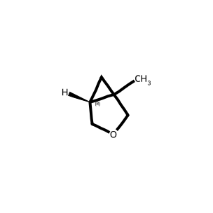 CC12COC[C@@H]1C2